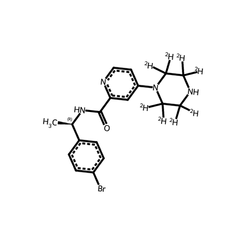 [2H]C1([2H])NC([2H])([2H])C([2H])([2H])N(c2ccnc(C(=O)N[C@H](C)c3ccc(Br)cc3)c2)C1([2H])[2H]